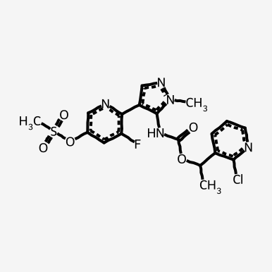 CC(OC(=O)Nc1c(-c2ncc(OS(C)(=O)=O)cc2F)cnn1C)c1cccnc1Cl